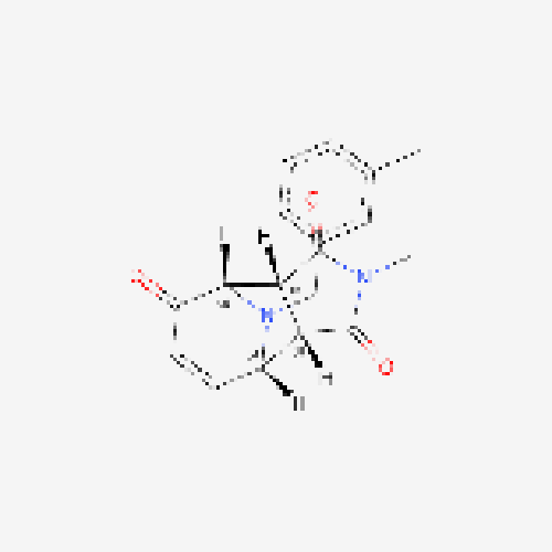 Cc1cccc(CN2[C@@H]3C(=O)C=C[C@H]2[C@H]2C(=O)N(C)C(=O)[C@H]23)c1